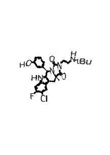 CC(C)(C)NCCN1C(=O)N2[C@H](c3cccc(O)c3)c3[nH]c4cc(F)c(Cl)cc4c3C[C@@]2(C)C1=O